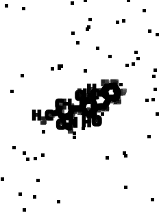 C=C(C)c1ocnc1/C=c1\[nH]c(=O)/c(=C/c2ccccc2C)[nH]c1=O